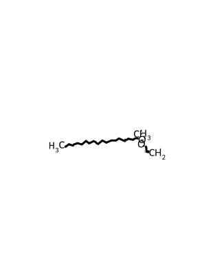 C=CCOOC(C)CCCCCCCCCCCCCCCCCC